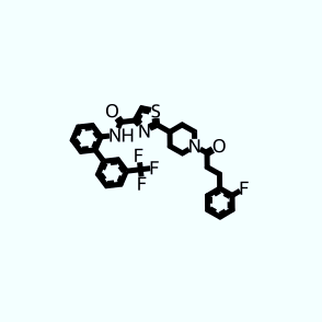 O=C(Nc1ccccc1-c1cccc(C(F)(F)F)c1)c1csc(C2CCN(C(=O)CCc3ccccc3F)CC2)n1